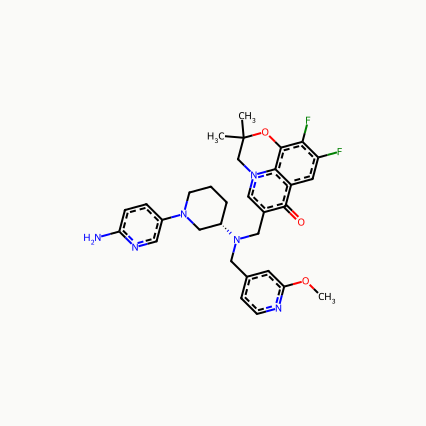 COc1cc(CN(Cc2cn3c4c(c(F)c(F)cc4c2=O)OC(C)(C)C3)[C@H]2CCCN(c3ccc(N)nc3)C2)ccn1